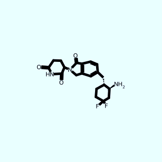 N[C@H]1CC(F)(F)CC[C@@H]1Cc1ccc2c(c1)CN(C1CCC(=O)NC1=O)C2=O